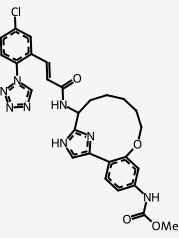 COC(=O)Nc1ccc2c(c1)OCCCCCC(NC(=O)C=Cc1cc(Cl)ccc1-n1cnnn1)c1nc-2c[nH]1